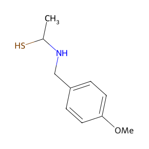 COc1ccc(CNC(C)S)cc1